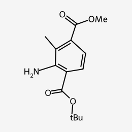 COC(=O)c1ccc(C(=O)OC(C)(C)C)c(N)c1C